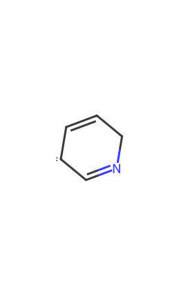 [C]1C=CCN=C1